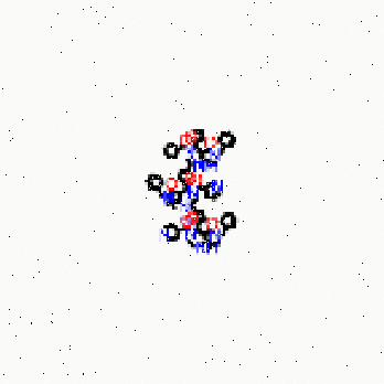 CC1(C)C2=C(C(=O)N1Cc1ccccc1)C(c1ccc(C3CN(C(=O)c4cccnc4)C(c4ccc(C5CN(C(=O)C6CCCC6)C(c6ccco6)C6=C(N5)C(C)(C)N(Cc5ccccc5)C6=O)o4)C4=C(N3)C(C)(C)N(Cc3ccccc3)C4=O)o1)N(C(=O)c1ccncc1)CCN2